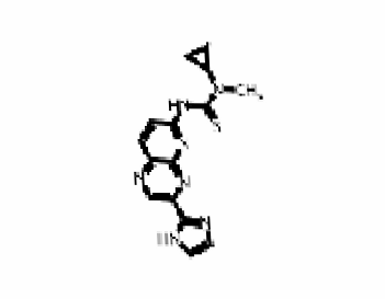 CN(C(=S)Nc1ccc2ncc(-c3ncc[nH]3)nc2n1)C1CC1